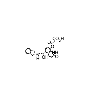 O=C(O)CC(=O)Oc1ccc(C(O)CNC2Cc3ccccc3C2)c2ccc(=O)[nH]c12